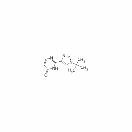 CC(C)(C)n1cnc(-c2nccc(=O)[nH]2)c1